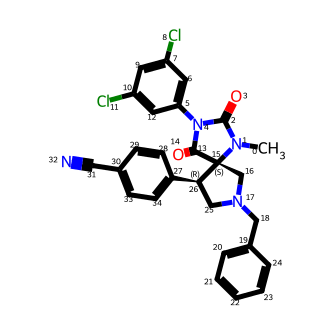 CN1C(=O)N(c2cc(Cl)cc(Cl)c2)C(=O)[C@]12CN(Cc1ccccc1)C[C@H]2c1ccc(C#N)cc1